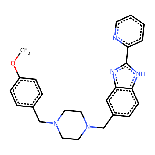 FC(F)(F)Oc1ccc(CN2CCN(Cc3ccc4[nH]c(-c5ccccn5)nc4c3)CC2)cc1